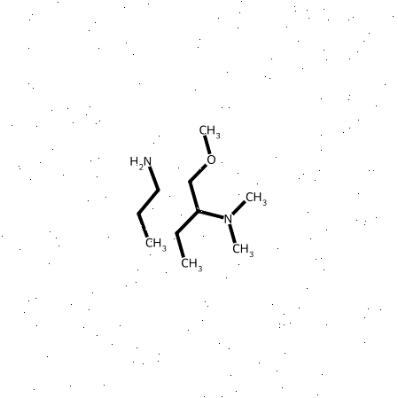 CCC(COC)N(C)C.CCCN